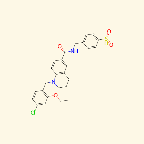 CCOc1cc(Cl)ccc1CN1CCCc2cc(C(=O)NCc3ccc([SH](=O)=O)cc3)ccc21